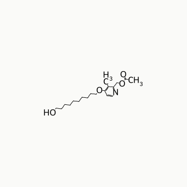 CC(=O)OCc1nccc(OCCCCCCCCCCO)c1C